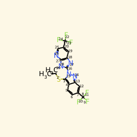 CCSc1c2ccc(C(F)(F)F)cc2nn1-c1nc2cc(C(F)(F)F)cnc2n1C